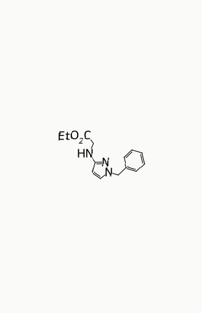 CCOC(=O)CNc1ccn(Cc2ccccc2)n1